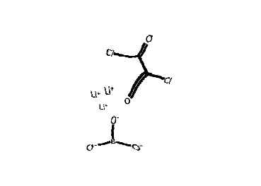 O=C(Cl)C(=O)Cl.[Li+].[Li+].[Li+].[O-]B([O-])[O-]